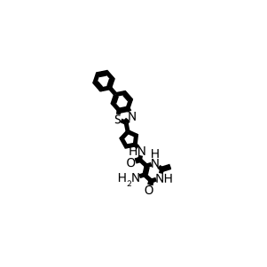 C=C1NC(=O)C(N)=C(C(=O)NC2CCC(c3nc4ccc(-c5ccccc5)cc4s3)C2)N1